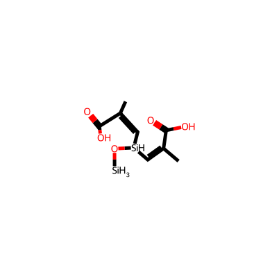 CC(=C[SiH](C=C(C)C(=O)O)O[SiH3])C(=O)O